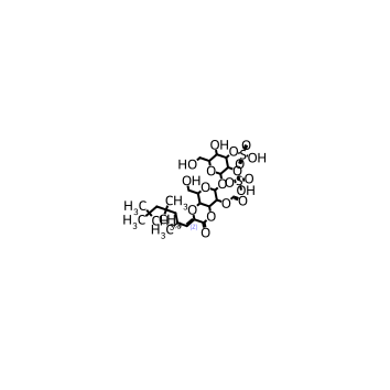 C[C@H](/C=C1\OC2C(CO)OC(OC3OC(CO)C(O)C(OS(=O)(=O)O)C3OS(=O)(=O)O)C(OC=O)C2OC1=O)CC(C)(C)CC(C)(C)C